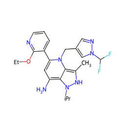 CCOc1ncccc1C1=CC(N)=C2C(=C(C)NN2C(C)C)N1Cc1cnn(C(F)F)c1